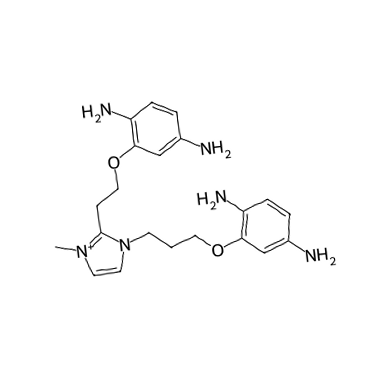 C[n+]1ccn(CCCOc2cc(N)ccc2N)c1CCOc1cc(N)ccc1N